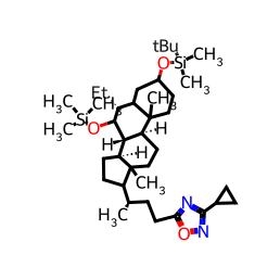 CC[C@H]1C(O[Si](C)(C)C)[C@@H]2[C@H](CCC3(C)C([C@H](C)CCc4nc(C5CC5)no4)CC[C@@H]23)C2(C)CCC(O[Si](C)(C)C(C)(C)C)CC12